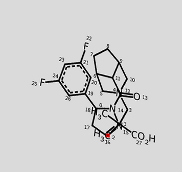 CC(C)(CN1CC2CCC(C1)C2C(=O)N1N=CCC1c1cc(F)cc(F)c1)C(=O)O